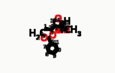 C=C[C@H](OC(=O)c1ccccc1)[C@@]12CO[C@@H]([C@H](C)O1)[C@@H]2O